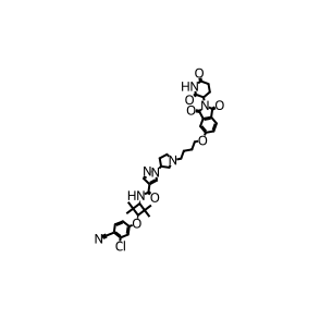 CC1(C)[C@H](NC(=O)c2cnn(C3CCN(CCCCOc4ccc5c(c4)C(=O)N(C4CCC(=O)NC4=O)C5=O)C3)c2)C(C)(C)[C@H]1Oc1ccc(C#N)c(Cl)c1